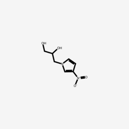 O=[N+]([O-])c1ccn(CC(O)CO)c1